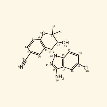 CC1(C)Oc2ccc(C#N)cc2[C@@H](n2nc(N)c3cc(Cl)ccc32)[C@@H]1O